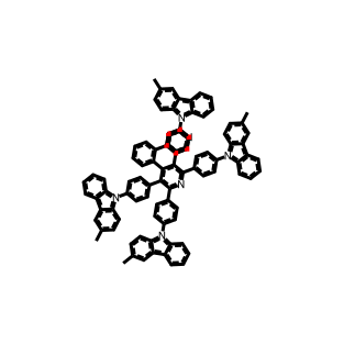 Cc1ccc2c(c1)c1ccccc1n2-c1ccc(-c2nc(-c3ccc(-n4c5ccccc5c5cc(C)ccc54)cc3)c(-c3ccc(-n4c5ccccc5c5cc(C)ccc54)cc3)c(-c3ccccc3-c3ccncc3)c2-c2ccc(-n3c4ccccc4c4cc(C)ccc43)cc2)cc1